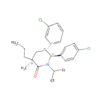 CCC(CC)N1C(=O)[C@@](C)(CCC(=O)O)C[C@H](c2cccc(Cl)c2)[C@H]1c1ccc(Cl)cc1